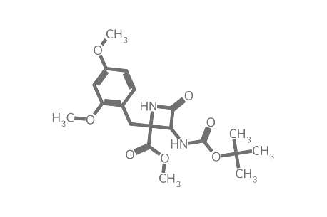 COC(=O)C1(Cc2ccc(OC)cc2OC)NC(=O)C1NC(=O)OC(C)(C)C